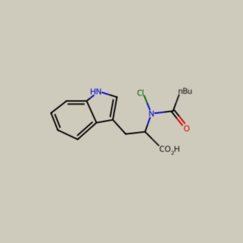 CCCCC(=O)N(Cl)C(Cc1c[nH]c2ccccc12)C(=O)O